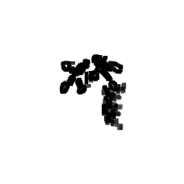 O=P(O)(O)O.O=P([O-])([O-])[O-].P.[Na+].[Na+].[Na+]